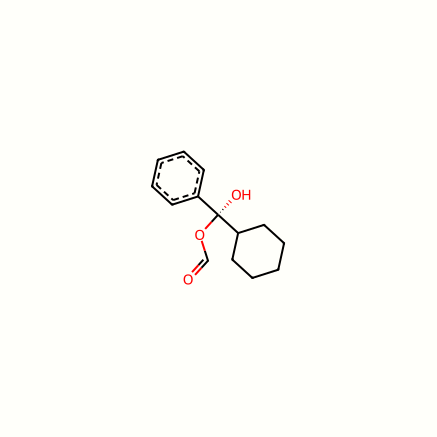 O=CO[C@@](O)(c1ccccc1)C1CCCCC1